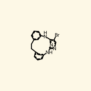 Brc1cnc2nc1Nc1cccc(c1)CCc1cccc(c1)N2